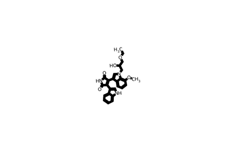 CCOCC(O)Cn1cc(C2=C(c3c[nH]c4ccccc34)C(=O)NC2=O)c2cccc(OC)c21